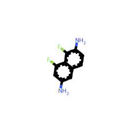 Nc1cc(F)c2c(F)c(N)ccc2c1